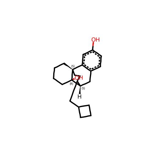 Oc1ccc2c(c1)[C@@]13CCCC[C@@]1(O)[C@@H](C2)C(CC1CCC1)CC3